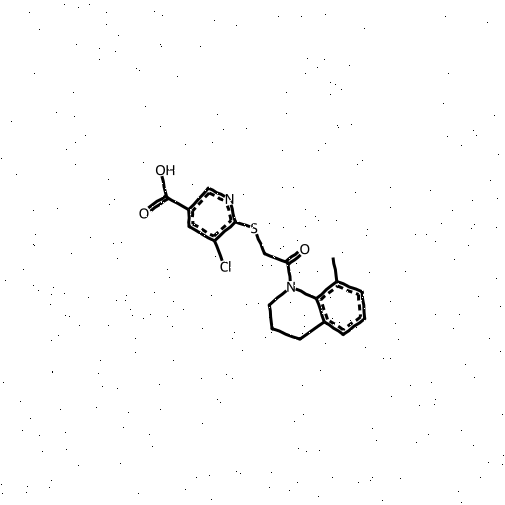 Cc1cccc2c1N(C(=O)CSc1ncc(C(=O)O)cc1Cl)CCC2